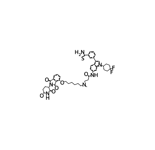 CN(CCCCCCOc1cccc2c1C(=O)N(C1CCC(=O)NC1=O)C2=O)CCC(=O)Nc1ccc2c(-c3cccc(C(N)=S)c3)cn(C3CCC(F)(F)CC3)c2c1